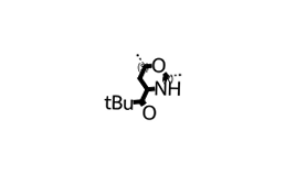 C[C@@H]1NC(C(=O)C(C)(C)C)C[C@H](C)O1